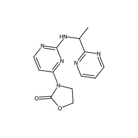 CC(Nc1nccc(N2CCOC2=O)n1)c1ncccn1